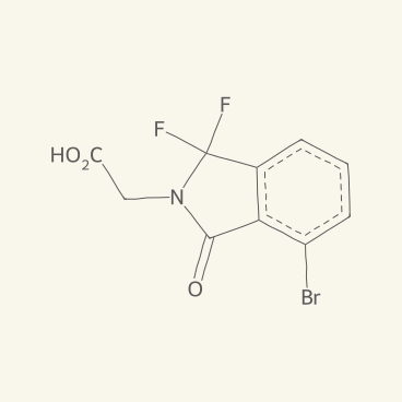 O=C(O)CN1C(=O)c2c(Br)cccc2C1(F)F